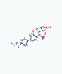 NCc1ccc(-c2ccc3c(c2)OC[C@H]2[C@H](CO)OC(=O)N32)cn1